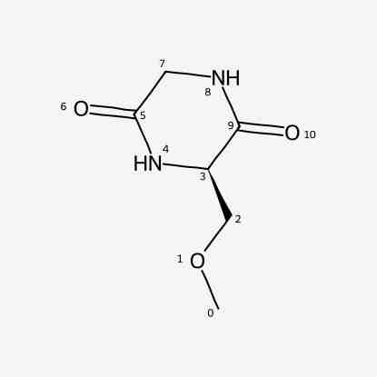 COC[C@H]1NC(=O)CNC1=O